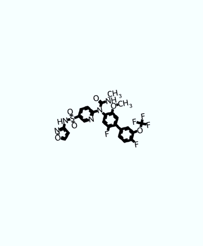 CNC(=O)N(c1ccc(S(=O)(=O)Nc2ccon2)cn1)c1cc(F)c(-c2ccc(F)c(OC(F)(F)F)c2)cc1OC